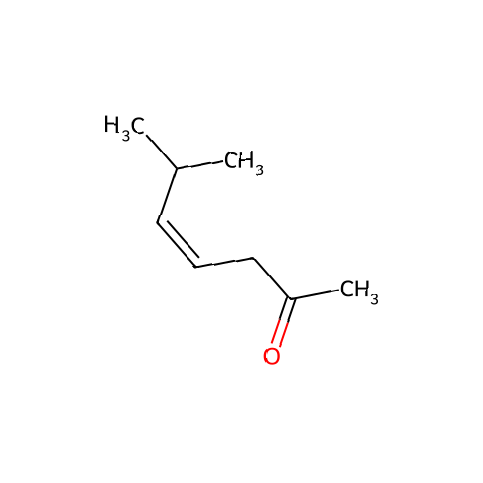 CC(=O)C/C=C\C(C)C